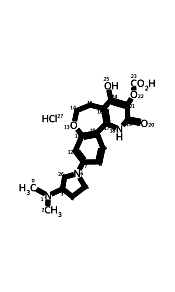 CN(C)C1CCN(c2ccc3c(c2)OCCc2c-3[nH]c(=O)c(OC(=O)O)c2O)C1.Cl